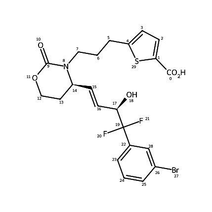 O=C(O)c1ccc(CCCN2C(=O)OCC[C@@H]2/C=C/[C@@H](O)C(F)(F)c2cccc(Br)c2)s1